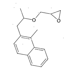 Cc1c(CC(C)OCC2CO2)ccc2ccccc12